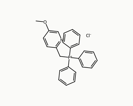 COc1ccc(C[P+](c2ccccc2)(c2ccccc2)c2ccccc2)nc1.[Cl-]